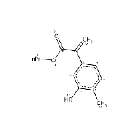 C=C(C(=O)OCCC)c1ccc(C)c(O)c1